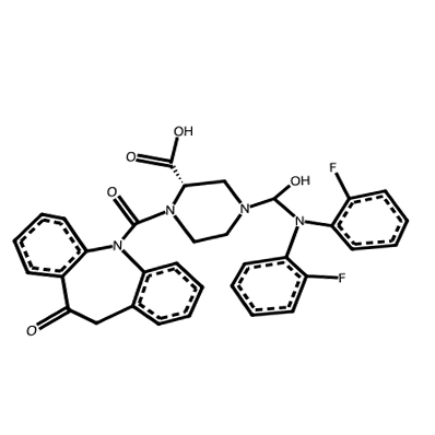 O=C1Cc2ccccc2N(C(=O)N2CCN(C(O)N(c3ccccc3F)c3ccccc3F)C[C@H]2C(=O)O)c2ccccc21